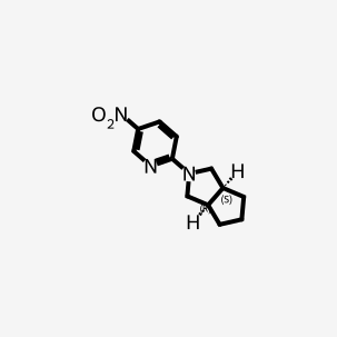 O=[N+]([O-])c1ccc(N2C[C@H]3CCC[C@H]3C2)nc1